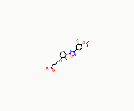 Cc1c(OCC=CC(=O)O)cccc1-c1nc(-c2ccc(OC(C)C)c(Cl)c2)no1